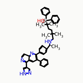 C[C@@H](NCC(C)(C)CCC(C)(C)[Si](O)(c1ccccc1)c1ccccc1)c1ccc(-c2nc3ccnc(-c4cn[nH]c4)c3cc2-c2ccccc2)cc1